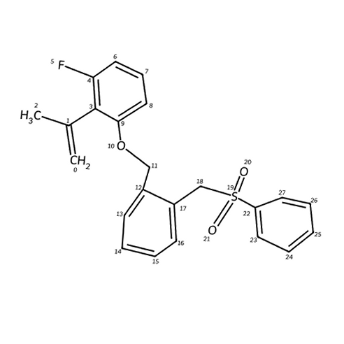 C=C(C)c1c(F)cccc1OCc1ccccc1CS(=O)(=O)c1ccccc1